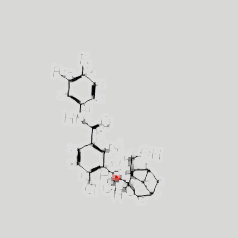 CC(C)[C@H](O)[C@@H](O)[C@]1(O)C2CC1C[C@@H](S(=O)(=O)c1cc(C(=O)Nc3ccc(F)c(F)c3)ccc1Cl)C2